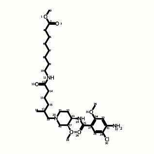 COC(=O)CCCCCCCNC(=O)CCCC(C)CN1CC[C@@H](NC(=O)c2cc(Cl)c(N)cc2OC)[C@@H](OC)C1